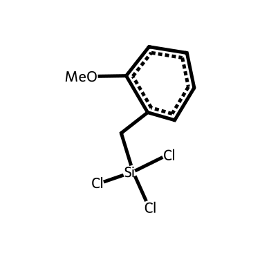 COc1ccccc1C[Si](Cl)(Cl)Cl